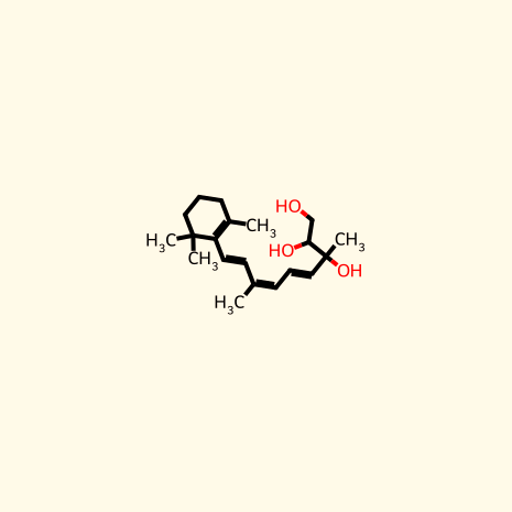 CC1=C(/C=C/C(C)=C\C=C\C(C)(O)C(O)CO)C(C)(C)CCC1